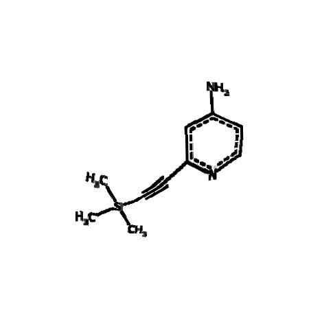 C[Si](C)(C)C#Cc1cc(N)ccn1